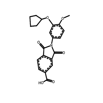 COc1ccc(N2C(=O)c3ccc(C(=O)O)cc3C2=O)cc1OC1CCCC1